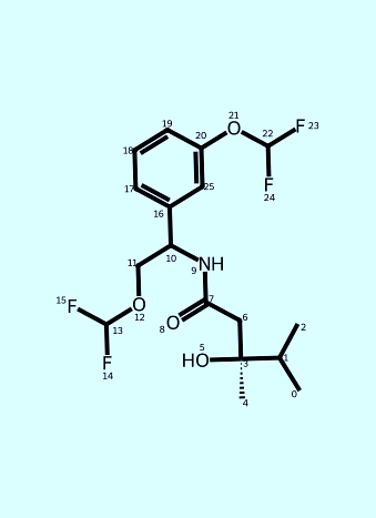 CC(C)[C@@](C)(O)CC(=O)NC(COC(F)F)c1cccc(OC(F)F)c1